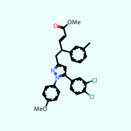 COC(=O)/C=C/C(Cc1cc(-c2ccc(Cl)c(Cl)c2)n(-c2ccc(OC)cc2)n1)c1cccc(C)c1